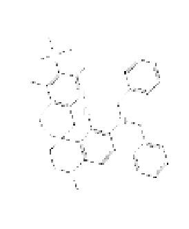 C[C@H]1CC[C@@]2(Cc3nc(Cl)c([Si](C)(C)C)c(Cl)c3CO2)c2c1ccc(N(Cc1ccccc1)Cc1ccccc1)c2Br